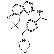 C[C@H](Nc1ncc2ccc(=O)n(CC(C)(C)C)c2n1)c1ccc(CN2CCOCC2)cc1